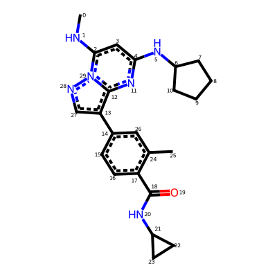 CNc1cc(NC2CCCC2)nc2c(-c3ccc(C(=O)NC4CC4)c(C)c3)cnn12